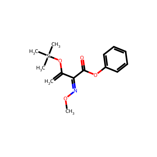 C=C(O[Si](C)(C)C)C(=NOC)C(=O)Oc1ccccc1